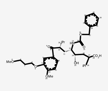 COCCCOc1cc(C(=O)[C@@H](C[C@H](NC(=O)OCc2ccccc2)[C@@H](O)CC(C(=O)O)C(C)C)C(C)C)ccc1OC